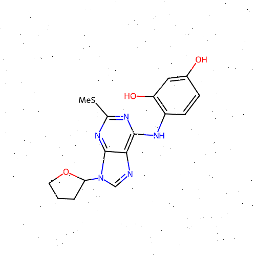 CSc1nc(Nc2ccc(O)cc2O)c2ncn(C3CCCO3)c2n1